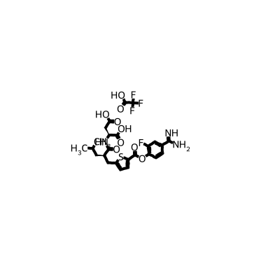 CC(C)C[C@H](Cc1ccc(C(=O)Oc2ccc(C(=N)N)cc2F)s1)C(=O)N[C@@H](CC(=O)O)C(=O)O.O=C(O)C(F)(F)F